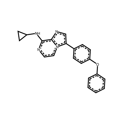 c1ccc(Oc2ccc(-c3cnc4c(NC5CC5)nccn34)cc2)cc1